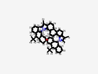 Cc1c(C)n(-c2c3ccccc3c(C(C)(C)C)c3ccccc23)c2c1ccc1c3ccc4c(C)c5c6cccc7c(C(C)(C)C)c8ccccc8c(c76)n5c4c3ccc12